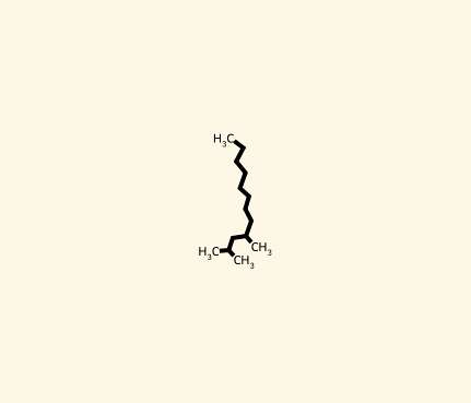 CCCCCCCCC(C)CC(C)C